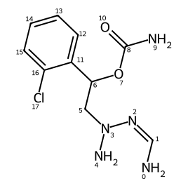 N/C=N\N(N)CC(OC(N)=O)c1ccccc1Cl